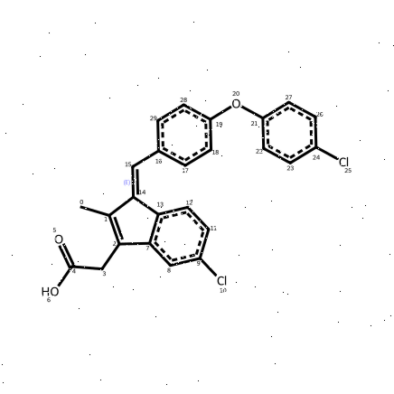 CC1=C(CC(=O)O)c2cc(Cl)ccc2/C1=C\c1ccc(Oc2ccc(Cl)cc2)cc1